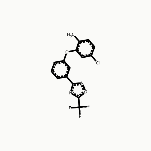 Cc1ccc(Cl)cc1Oc1[c]ccc(-c2noc(C(F)(F)F)n2)c1